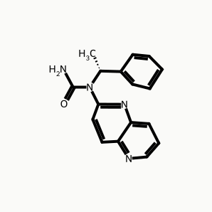 C[C@H](c1ccccc1)N(C(N)=O)c1ccc2ncccc2n1